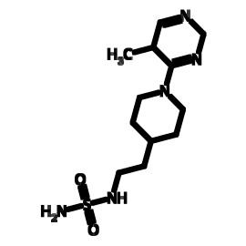 CC1C=NCN=C1N1CCC(CCNS(N)(=O)=O)CC1